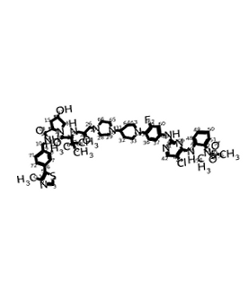 Cc1ncsc1-c1ccc(CNC(=O)[C@H]2C[C@@H](O)CN2C(O)[C@@H](NC(=O)CN2CCN(C3CCN(c4ccc(Nc5ncc(Cl)c(Nc6ccccc6N(C)S(C)(=O)=O)n5)cc4F)CC3)CC2)C(C)(C)C)cc1